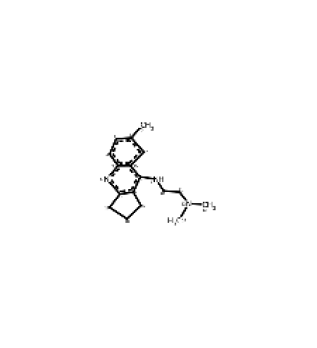 Cc1ccc2nc3c(c(NCCN(C)C)c2c1)CCC3